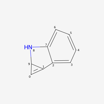 C1=C2c3ccccc3NC12